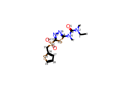 CCN(C)C(=O)N(C)c1nnc(S(=O)(=O)Cc2cccs2)s1